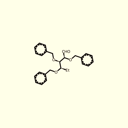 CC[C@@H](OCc1ccccc1)[C@@H](OCc1ccccc1)[C@@H](C=O)OCc1ccccc1